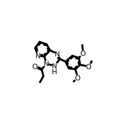 CCC(=O)N1NC(c2cc(OC)c(OC)c(OC)c2)=Nc2cccnc21